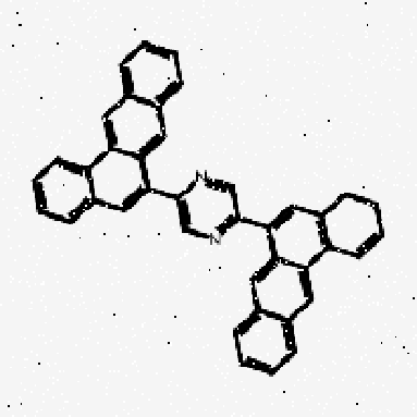 C1=Cc2c(cc(-c3cnc(-c4cc5ccccc5c5cc6ccccc6cc45)cn3)c3cc4ccccc4cc23)CC1